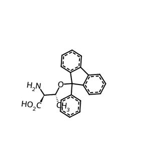 C[C@@H](OC1(c2ccccc2)c2ccccc2-c2ccccc21)[C@H](N)C(=O)O